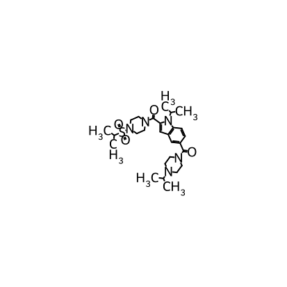 CC(C)N1CCN(C(=O)c2ccc3c(c2)cc(C(=O)N2CCN(S(=O)(=O)C(C)C)CC2)n3C(C)C)CC1